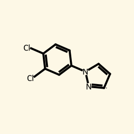 Clc1ccc(-n2cc[c]n2)cc1Cl